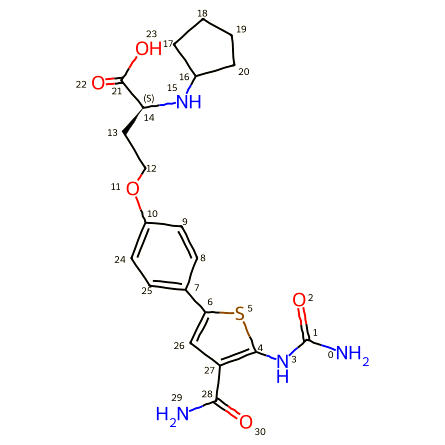 NC(=O)Nc1sc(-c2ccc(OCC[C@H](NC3CCCC3)C(=O)O)cc2)cc1C(N)=O